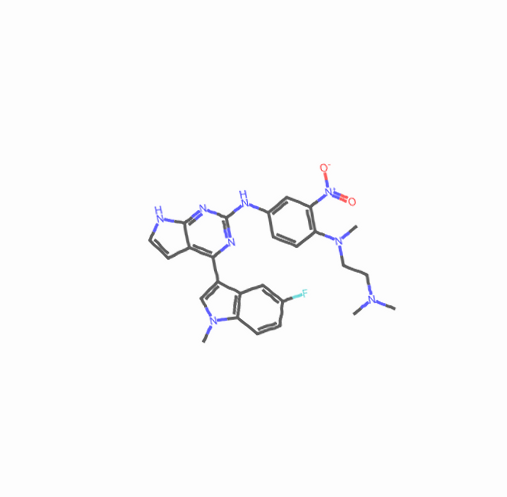 CN(C)CCN(C)c1ccc(Nc2nc(-c3cn(C)c4ccc(F)cc34)c3cc[nH]c3n2)cc1[N+](=O)[O-]